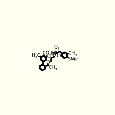 CCOC(=O)c1ccc(-c2ccccc2[C@@H](C)OCC(O)CNC(C)(C)Cc2ccc(SC)c(C)c2)cc1C